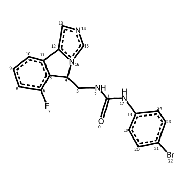 O=C(NCC1c2c(F)cccc2-c2cncn21)Nc1ccc(Br)cc1